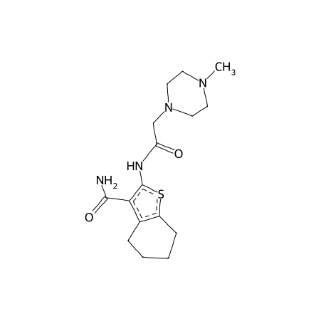 CN1CCN(CC(=O)Nc2sc3c(c2C(N)=O)CCCC3)CC1